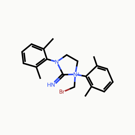 Cc1cccc(C)c1N1CC[N+](CBr)(c2c(C)cccc2C)C1=N